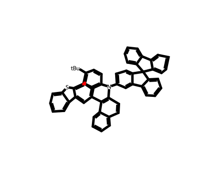 CC(C)(C)c1ccc(N(c2ccc3c(c2)-c2ccccc2C32c3ccccc3-c3ccccc32)c2ccc3ccccc3c2-c2ccc3sc4ccccc4c3c2)cc1